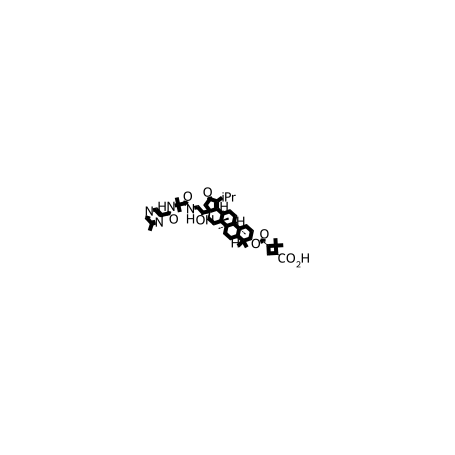 Cc1cncc(C(=O)NC(C)(C)C(=O)NC[C@H](O)[C@@]23CC[C@]4(C)[C@H](CC[C@@H]5[C@@]6(C)CC[C@H](OC(=O)[C@H]7C[C@@H](C(=O)O)C7(C)C)C(C)(C)[C@@H]6CC[C@]54C)C2=C(C(C)C)C(=O)C3)n1